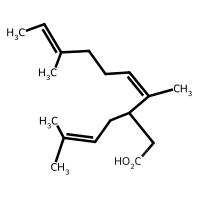 C/C=C(\C)CCC=C(C)C(CC=C(C)C)CC(=O)O